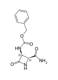 NC(=O)[C@H]1NC(=O)[C@H]1NC(=O)OCc1ccccc1